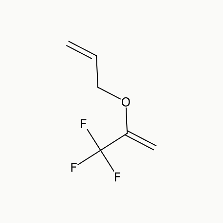 C=CCOC(=C)C(F)(F)F